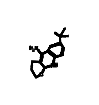 CC(C)(C)c1ccc2c(c1)C(N)=C1CCCOC1N2